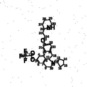 O=C(Oc1ccc2c(c1)CCN(C1CCCC1)C2Cc1ccc(OCCC2CCCCN2)cc1)C(F)(F)F